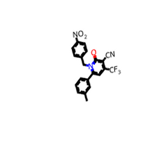 Cc1cccc(-c2cc(C(F)(F)F)c(C#N)c(=O)n2Cc2ccc([N+](=O)[O-])cc2)c1